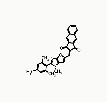 Cc1cc(C)c(-c2nc3oc(C=C4C(=O)c5cc6ccccc6cc5C4=O)cc3n2C)c(C)c1